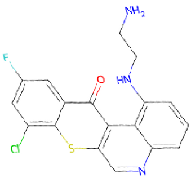 NCCNc1cccc2ncc3sc4c(Cl)cc(F)cc4c(=O)c3c12